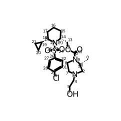 C[C@@H]1CN(CCO)CCN1C(=O)OC[C@H]1CCC[C@@H](C2CC2)N1S(=O)(=O)c1ccc(Cl)cc1